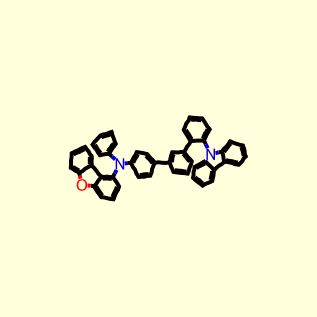 c1ccc(N(c2ccc(-c3cccc(-c4ccccc4-n4c5ccccc5c5ccccc54)c3)cc2)c2cccc3oc4ccccc4c23)cc1